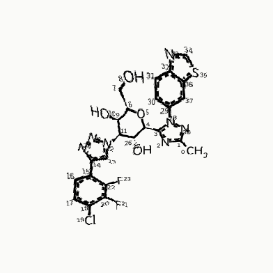 Cc1nc([C@@H]2O[C@H](CO)[C@H](O)[C@H](n3cc(-c4ccc(Cl)c(F)c4F)nn3)[C@H]2O)n(-c2ccc3ncsc3c2)n1